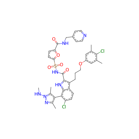 CNn1nc(C)c(-c2c(Cl)ccc3c(CCCOc4cc(C)c(Cl)c(C)c4)c(C(=O)NS(=O)(=O)c4ccc(C(=O)NCc5ccncc5)o4)[nH]c23)c1C